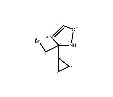 BrCC1(C2CC2)N=CON1